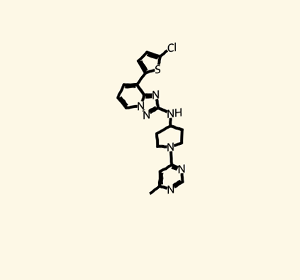 Cc1cc(N2CCC(Nc3nc4c(-c5ccc(Cl)s5)cccn4n3)CC2)ncn1